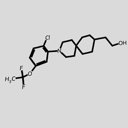 CC(F)(F)Oc1ccc(Cl)c(N2CCC3(CCC(CCO)CC3)CC2)c1